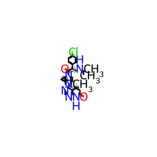 CC(C)NC[C@@H](C(=O)N1CCN(c2ncnc3c2[C@H](C)CC(=O)N3)C2C[C@H]21)c1ccc(Cl)cc1